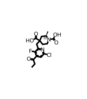 CCC(=O)c1cc(Cl)nc(CC2(C(=O)O)CCN(C(=O)O)[C@H](C)C2)c1F